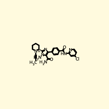 CC#CN1CCCC[C@H]1c1nc(-c2ccc(C(=O)Nc3cc(Cl)ccn3)cc2)c(C(N)=O)n1N